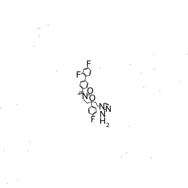 C[C@@H](c1ccc(-c2ccc(F)cc2F)cc1)N1CCC(CCn2ccnc2N)(c2ccc(F)cc2)OC1=O